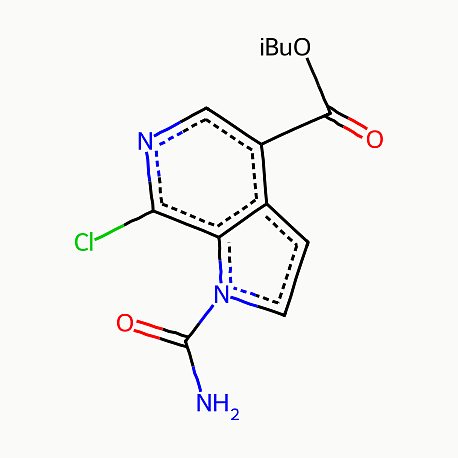 CC(C)COC(=O)c1cnc(Cl)c2c1ccn2C(N)=O